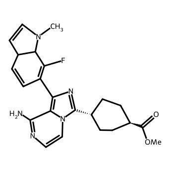 COC(=O)[C@H]1CC[C@H](c2nc(C3=C(F)C4C(C=C3)C=CN4C)c3c(N)nccn32)CC1